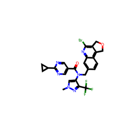 Cn1cc(N(Cc2ccc3c4c(c(Br)nc3c2)COC4)C(=O)c2cnc(C3CC3)nc2)c(C(F)(F)F)n1